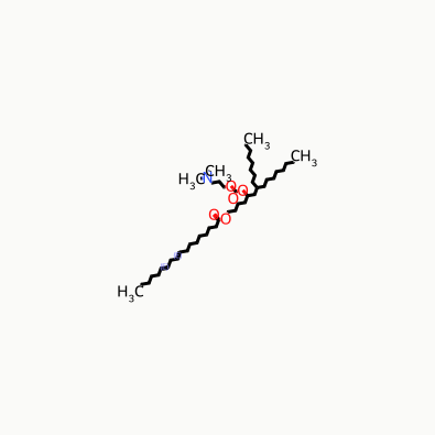 CCCCC/C=C/C/C=C/CCCCCCCC(=O)OCCCCC(CC(CCCCCCCC)CCCCCCCC)OC(=O)OCCCN(C)C